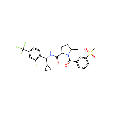 C[C@@H]1CC[C@H](C(=O)N[C@@H](c2ccc(C(F)(F)F)cc2F)C2CC2)N1C(=O)c1cccc(S(C)(=O)=O)c1